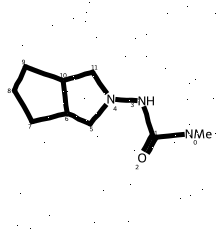 CNC(=O)NN1CC2CCCC2C1